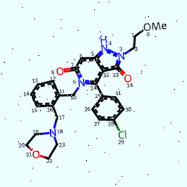 COCCn1[nH]c2cc(=O)n(Cc3ccccc3CN3CCOCC3)c(-c3ccc(Cl)cc3)c2c1=O